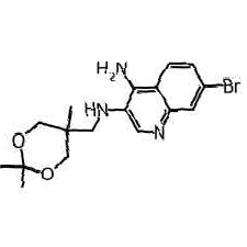 CC1(CNc2cnc3cc(Br)ccc3c2N)COC(C)(C)OC1